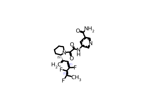 C=C(/C=C(F)\C(F)=C(/C)F)[C@@H]1CCCCN1C(=O)C(=O)Nc1cncc(C(N)=O)c1